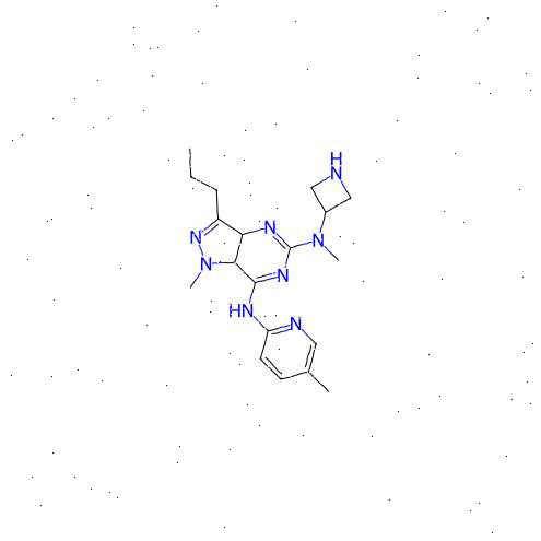 CCCC1=NN(C)C2C(Nc3ccc(C)cn3)=NC(N(C)C3CNC3)=NC12